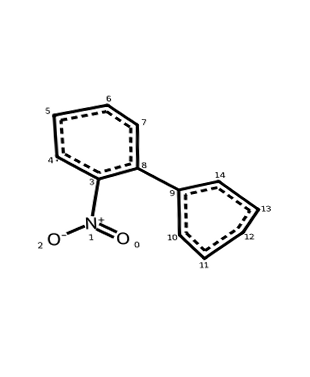 O=[N+]([O-])c1[c]cccc1-c1ccccc1